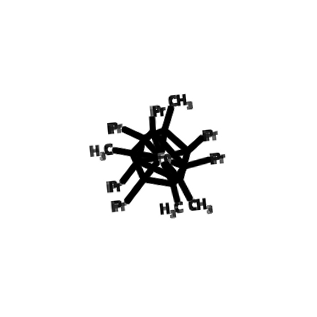 CC(C)[C]12[C]3(C)[C]4(C(C)C)[C]5(C(C)C)[C]1(C)[Fe]32451678[C]2(C)[C]1(C(C)C)[C]6(C)[C]7(C(C)C)[C]28C(C)C